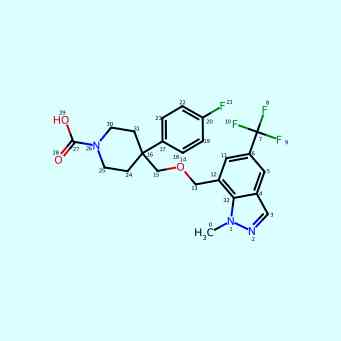 Cn1ncc2cc(C(F)(F)F)cc(COCC3(c4ccc(F)cc4)CCN(C(=O)O)CC3)c21